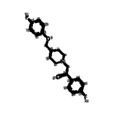 O=C(CN1CCC(COc2ccc(F)cc2)CC1)c1ccc(F)cc1